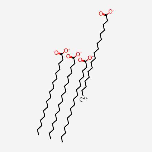 CCCCCCCCCCCCCCCCCC(=O)[O-].CCCCCCCCCCCCCCCCCC(=O)[O-].CCCCCCCCCCCCCCCCCC(=O)[O-].CCCCCCCCCCCCCCCCCC(=O)[O-].[C+4]